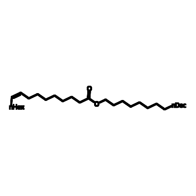 CCCCCC/C=C\CCCCCCCC(=O)OCCCCCCCCCCCCCCCCCC